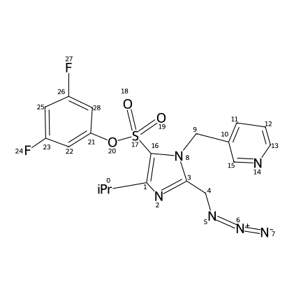 CC(C)c1nc(CN=[N+]=[N-])n(Cc2cccnc2)c1S(=O)(=O)Oc1cc(F)cc(F)c1